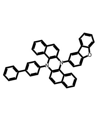 c1ccc(-c2ccc(N3c4ccc5ccccc5c4N(c4ccc5oc6ccccc6c5c4)c4ccc5ccccc5c43)cc2)cc1